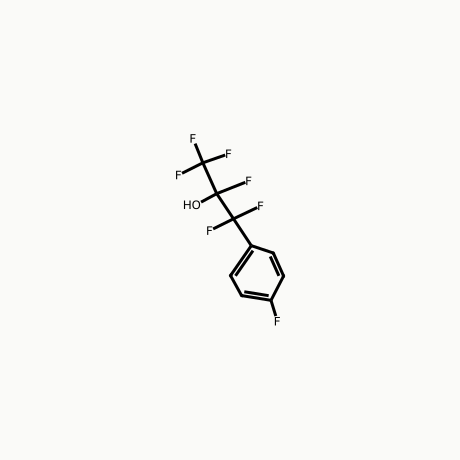 OC(F)(C(F)(F)F)C(F)(F)c1ccc(F)cc1